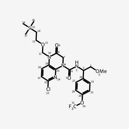 COCC(NC(=O)N1CC(=O)N(COCC[Si](C)(C)C)c2ccc(Cl)nc21)c1ccc(OC(F)(F)F)cc1